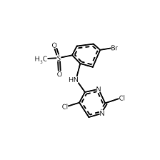 CS(=O)(=O)c1ccc(Br)cc1Nc1nc(Cl)ncc1Cl